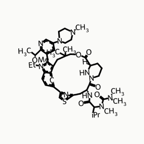 CCn1c(-c2cc(N3CCN(C)CC3)cnc2[C@H](C)OC)c2c3cc(ccc31)-c1csc(n1)C[C@H](NC(=O)C(C(C)C)N(C)C(=O)N(C)C)C(=O)N1CCC[C@H](N1)C(=O)OCC(C)(C)C2